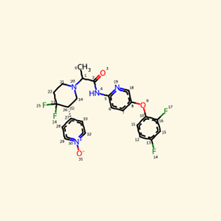 CC(C(=O)Nc1ccc(Oc2ccc(F)cc2F)cn1)N1CCC(F)(F)[C@@H](c2cc[n+]([O-])cc2)C1